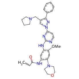 C=CC(=O)Nc1cc(Nc2nccc(-n3cc(CN4CCCC4)c(-c4ccccc4)n3)n2)c(OC)cc1N1CCOCC1